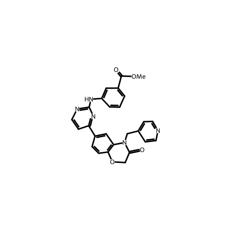 COC(=O)c1cccc(Nc2nccc(-c3ccc4c(c3)N(Cc3ccncc3)C(=O)CO4)n2)c1